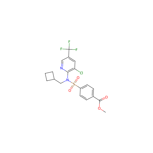 COC(=O)c1ccc(S(=O)(=O)N(CC2CCC2)c2ncc(C(F)(F)F)cc2Cl)cc1